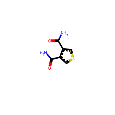 NC(=O)c1cscc1C(N)=O